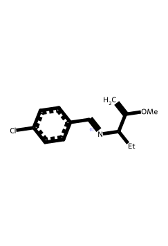 C=C(OC)C(CC)/N=C/c1ccc(Cl)cc1